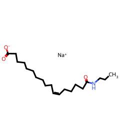 CCCNC(=O)CCCC/C=C\CCCCCCCCCC(=O)[O-].[Na+]